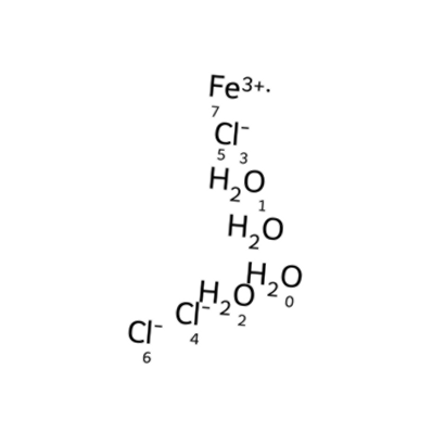 O.O.O.O.[Cl-].[Cl-].[Cl-].[Fe+3]